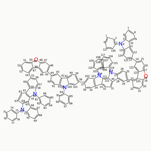 c1ccc(-n2c3ccccc3c3cc(-c4ccc5oc6cccc(-c7ccc8c(c7)c7ccc9c%10ccc(-c%11ccc%12c%13cc(-c%14ccc%15oc%16cccc(-c%17ccc%18c(c%17)c%17ccc%19c(c%20ccccc%20n%19-c%19ccccc%19)c%17n%18-c%17ccccc%17)c%16c%15c%14)ccc%13n(-c%13ccccc%13)c%12c%11)cc%10n(-c%10ccccc%10)c9c7n8-c7ccccc7)c6c5c4)ccc32)cc1